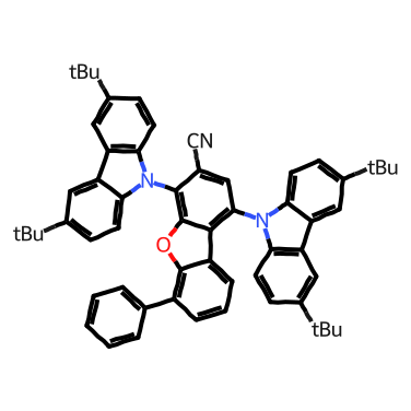 CC(C)(C)c1ccc2c(c1)c1cc(C(C)(C)C)ccc1n2-c1c(C#N)cc(-n2c3ccc(C(C)(C)C)cc3c3cc(C(C)(C)C)ccc32)c2c1oc1c(-c3ccccc3)cccc12